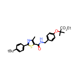 CCOC(=O)C(C)(C)Oc1ccc(CNC(=O)c2sc(-c3ccc(C(C)(C)C)cc3)nc2C)cc1